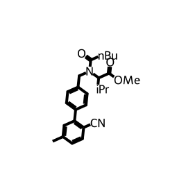 CCCCC(=O)N(Cc1ccc(-c2cc(C)ccc2C#N)cc1)C(C(=O)OC)C(C)C